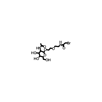 CC(=O)NC1C(OCCOCCNC(=O)CBr)OC(CO)C(O)C1O